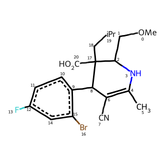 COCC1NC(C)=C(C#N)C(c2ccc(F)cc2Br)C1(CC(C)C)C(=O)O